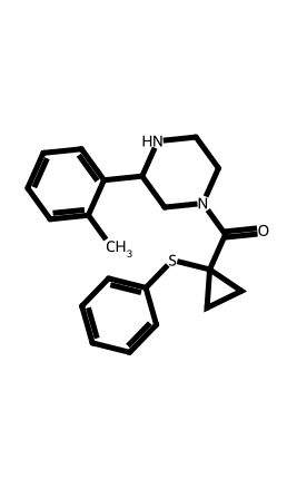 Cc1ccccc1C1CN(C(=O)C2(Sc3ccccc3)CC2)CCN1